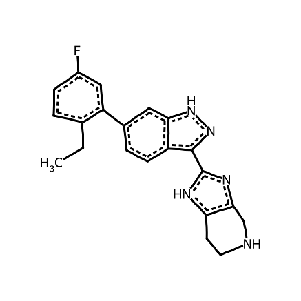 CCc1ccc(F)cc1-c1ccc2c(-c3nc4c([nH]3)CCNC4)n[nH]c2c1